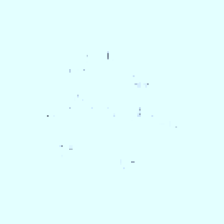 C=CC(=O)OCCCC.CCCCOC(=O)CCC